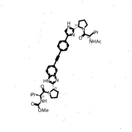 COC(=O)N[C@H](C(=O)N1CCC[C@H]1c1nc2cc(C#Cc3ccc(-c4c[nH]c([C@@H]5CCCN5C(=O)[C@@H](NC(C)=O)C(C)C)n4)cc3)ccc2[nH]1)C(C)C